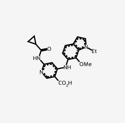 CCn1ccc2ccc(Nc3cc(NC(=O)C4CC4)ncc3C(=O)O)c(OC)c21